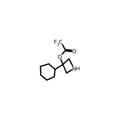 O=C(OC1(C2CCCCC2)CNC1)C(F)(F)F